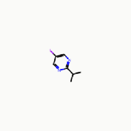 CC(C)c1ncc(I)cn1